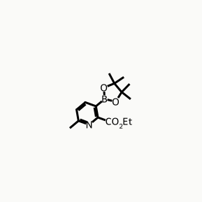 CCOC(=O)c1nc(C)ccc1B1OC(C)(C)C(C)(C)O1